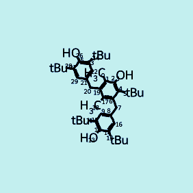 Cc1c(O)c(C(C)(C)C)c(Cc2cc(C(C)(C)C)c(O)c(C(C)(C)C)c2)c(C)c1Cc1cc(C(C)(C)C)c(O)c(C(C)(C)C)c1